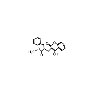 COC(=O)C(Cc1ccccc1)Cc1c(O)c2ccccc2oc1=O